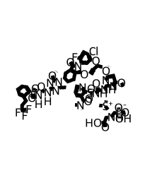 C#CC(C)Oc1cc(N2C(=O)C3=C(CCCC3)C2=O)c(F)cc1Cl.COc1cc(OC)nc(NC(=O)NS(=O)(=O)c2ncccc2C(=O)N(C)C)n1.COc1nc(C)nc(NC(=O)NS(=O)(=O)c2ccccc2CCC(F)(F)F)n1.C[S+](C)C.O=C(O)CNCP(=O)([O-])O